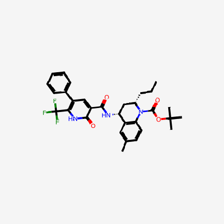 CCC[C@H]1C[C@@H](NC(=O)c2cc(-c3ccccc3)c(C(F)(F)F)[nH]c2=O)c2cc(C)ccc2N1C(=O)OC(C)(C)C